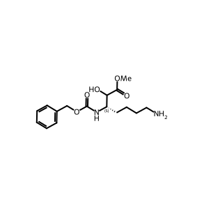 COC(=O)C(O)[C@H](CCCCN)NC(=O)OCc1ccccc1